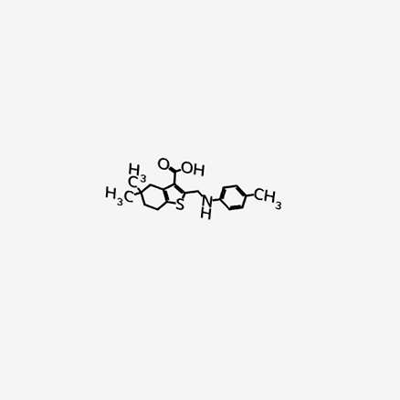 Cc1ccc(NCc2sc3c(c2C(=O)O)CC(C)(C)CC3)cc1